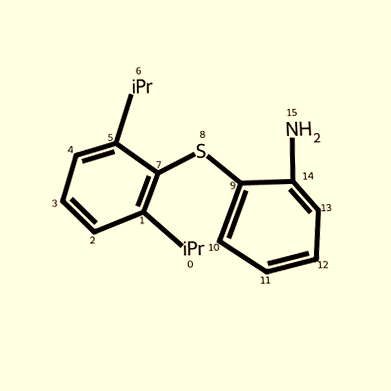 CC(C)c1cccc(C(C)C)c1Sc1ccccc1N